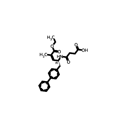 CCOC(=O)C(C)=C[C@@H](Cc1ccc(-c2ccccc2)cc1)NC(=O)CCC(=O)O